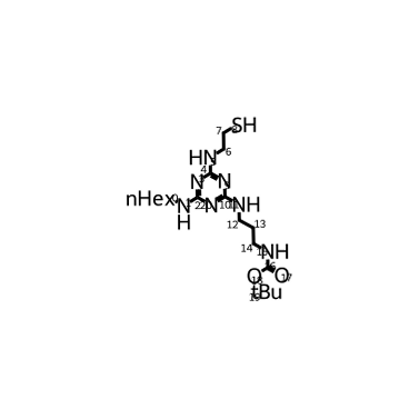 CCCCCCNc1nc(NCCS)nc(NCCCNC(=O)OC(C)(C)C)n1